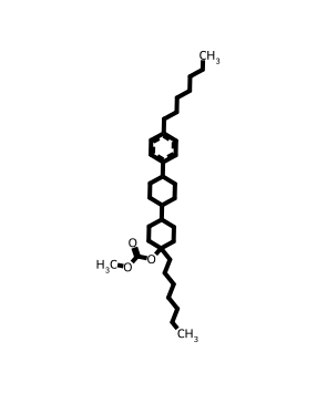 CCCCCCCc1ccc(C2CCC(C3CCC(CCCCCCC)(OC(=O)OC)CC3)CC2)cc1